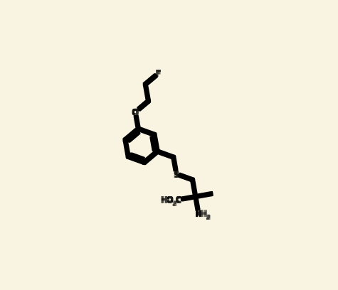 CC(N)(CSCc1cccc(OCCF)c1)C(=O)O